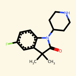 CC1(C)C(=O)N(C2CCNCC2)c2ccc(F)cc21